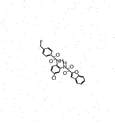 O=S(=O)(Nc1ccc(Cl)cc1NS(=O)(=O)c1cc2ccccc2o1)c1ccc(CF)cc1